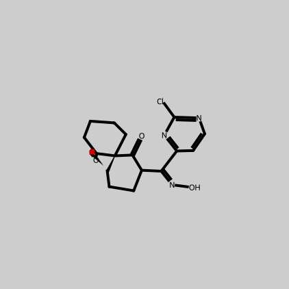 O=C1C(/C(=N/O)c2ccnc(Cl)n2)CCC[C@@]12CCCCC21OCCO1